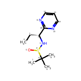 CC[C@@H](N[S+]([O-])C(C)(C)C)c1ncccn1